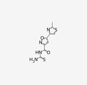 Cc1nc(-c2cc(C(=O)NC(N)=S)no2)cs1